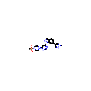 Cn1cc(-c2ccc3cnn(-c4cc(N5CCN(S(C)(=O)=O)CC5)ncn4)c3c2)cn1